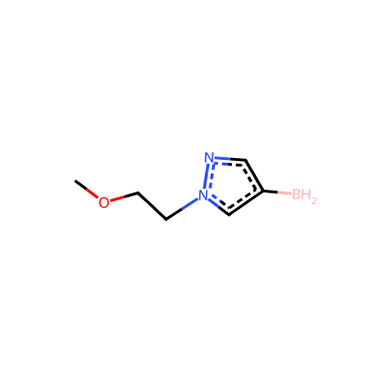 Bc1cnn(CCOC)c1